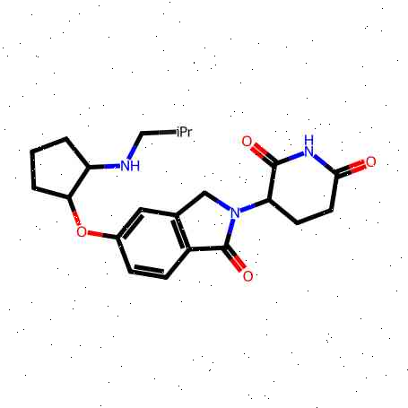 CC(C)CNC1CCCC1Oc1ccc2c(c1)CN(C1CCC(=O)NC1=O)C2=O